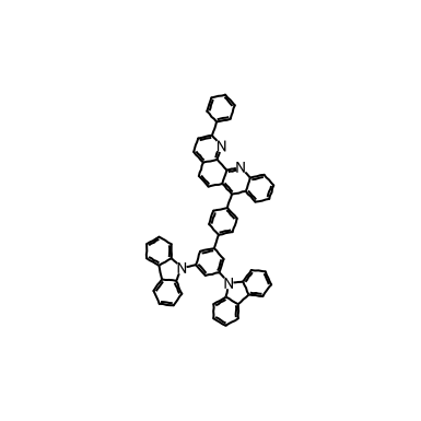 c1ccc(-c2ccc3ccc4c(-c5ccc(-c6cc(-n7c8ccccc8c8ccccc87)cc(-n7c8ccccc8c8ccccc87)c6)cc5)c5ccccc5nc4c3n2)cc1